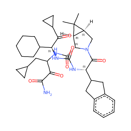 CC1(C)[C@@H]2[C@@H](C(=O)NC(CC3CC3)C(=O)C(N)=O)N(C(=O)[C@@H](NC(=O)N[C@H](C(=O)C3CC3)C3CCCCC3)C3Cc4ccccc4C3)C[C@@H]21